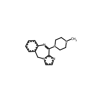 CN1CCN(C2=Nc3ccccc3Cn3ccnc32)CC1